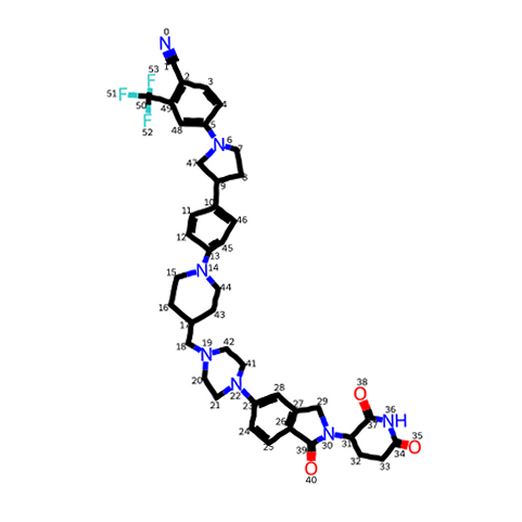 N#Cc1ccc(N2CCC(c3ccc(N4CCC(CN5CCN(c6ccc7c(c6)CN(C6CCC(=O)NC6=O)C7=O)CC5)CC4)cc3)C2)cc1C(F)(F)F